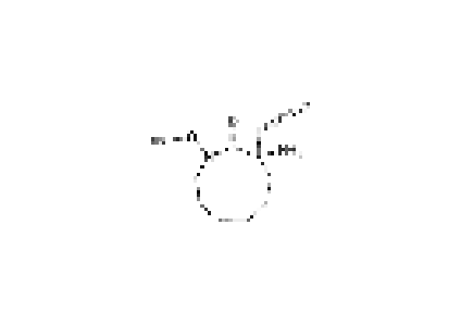 CC(C)(C)ON1CCCCCCC(N)(C=C=O)C1=O